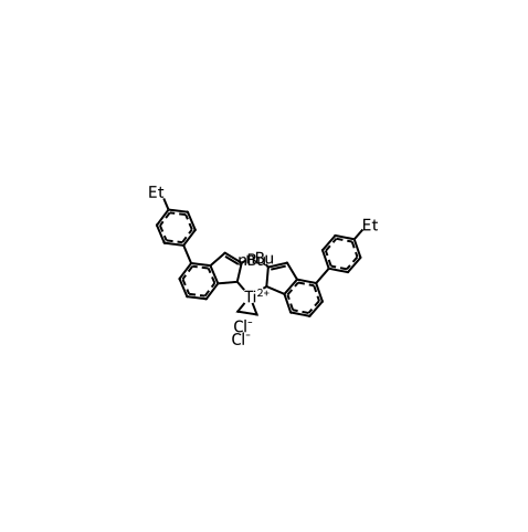 CCCCC1=Cc2c(-c3ccc(CC)cc3)cccc2[CH]1[Ti+2]1([CH]2C(CCCC)=Cc3c(-c4ccc(CC)cc4)cccc32)[CH2][CH2]1.[Cl-].[Cl-]